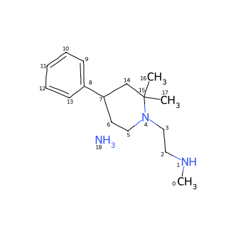 CNCCN1CCC(c2ccccc2)CC1(C)C.N